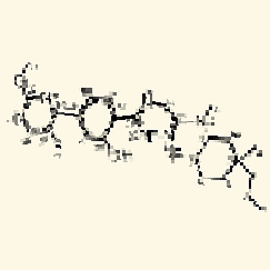 CCC[C@]1(C)CC[C@H](F)[C@H](N(C)c2cnc(-c3ccc(-c4nc(OC)ncc4F)cc3O)nn2)C1